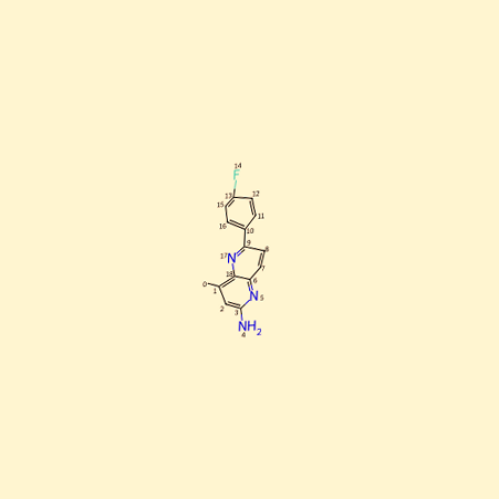 Cc1cc(N)nc2ccc(-c3ccc(F)cc3)nc12